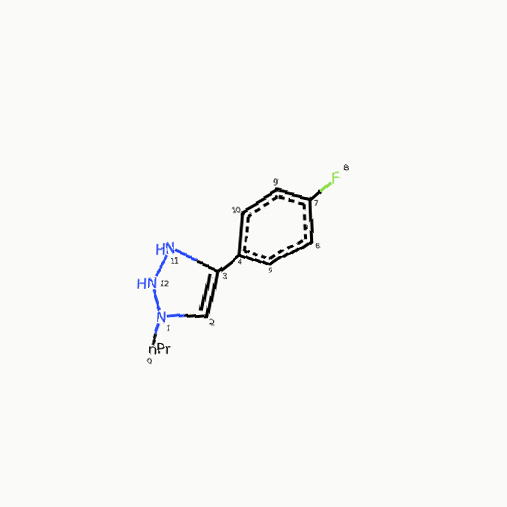 CCCN1C=C(c2ccc(F)cc2)NN1